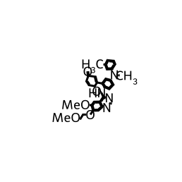 COCCOc1cc2ncnc(Nc3ccc(N(C)c4cccc(C)c4)cc3C3=CC(=O)C=CC3=O)c2cc1OC